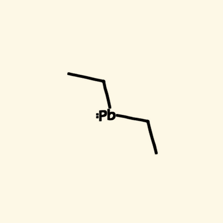 C[CH2][Pb][CH2]C